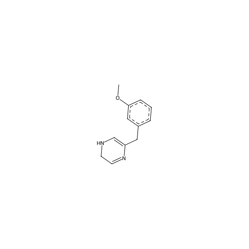 COc1cccc(CC2=CNCC=N2)c1